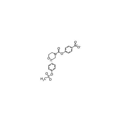 CS(=O)(=O)Oc1ccc([C@H]2CN(C(=O)Oc3ccc([N+](=O)[O-])cc3)CCO2)cc1